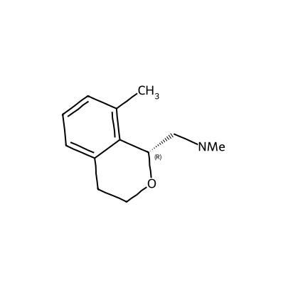 CNC[C@@H]1OCCc2cccc(C)c21